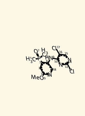 COc1cc(P(C)(C)=O)c(Nc2nc(Cl)ncc2Cl)cn1